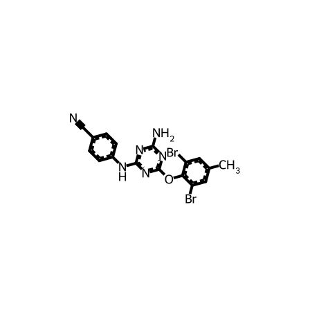 Cc1cc(Br)c(Oc2nc(N)nc(Nc3ccc(C#N)cc3)n2)c(Br)c1